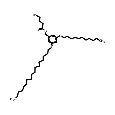 CCCCCCCCCCCCCCCCCOc1cc(COC(=O)CCCBr)cc(OCCCCCCCCCCC)c1